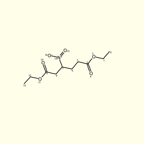 CCOC(=O)CCC(CC(=O)OCC)[N+](=O)[O-]